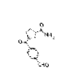 NC(=O)C1CCN(C(=O)c2ccc(C=O)cc2)C1